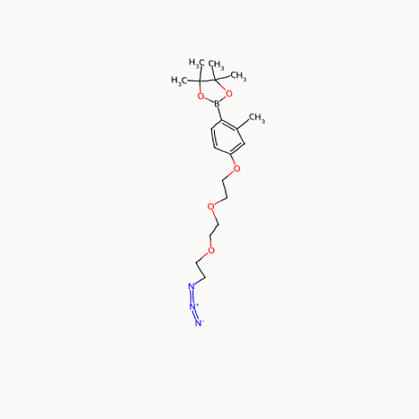 Cc1cc(OCCOCCOCCN=[N+]=[N-])ccc1B1OC(C)(C)C(C)(C)O1